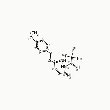 COc1ccc(CSC(=N)/C=C\C(=N)NC(=N)C(F)(F)F)cc1